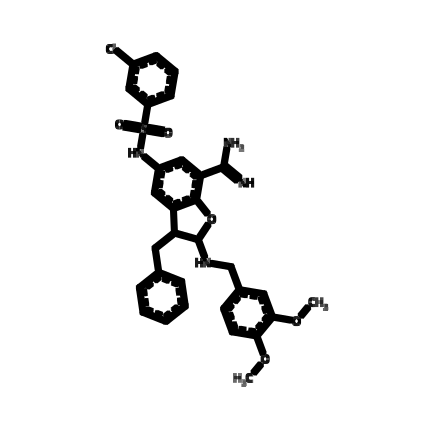 COc1ccc(CNC2Oc3c(C(=N)N)cc(NS(=O)(=O)c4cccc(Cl)c4)cc3C2Cc2ccccc2)cc1OC